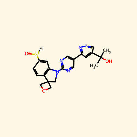 CC[S+]([O-])c1ccc2c(c1)N(c1ncc(-c3cc(C(C)(C)O)cnn3)cn1)CC21COC1